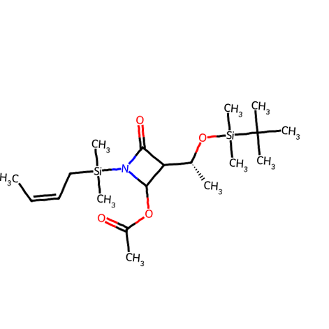 C/C=C\C[Si](C)(C)N1C(=O)C([C@@H](C)O[Si](C)(C)C(C)(C)C)C1OC(C)=O